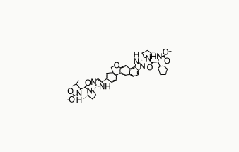 COC(=O)N[C@H](C(=O)N1[C@@H](C)CC[C@H]1c1ncc(-c2ccc3c(c2)COc2cc4c(ccc5nc([C@@H]6CC[C@H](C)N6C(=O)[C@@H](NC(=O)OC)C6CCCCC6)[nH]c54)cc2-3)[nH]1)C(C)C